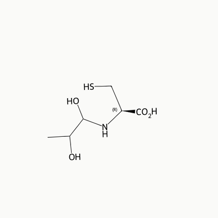 CC(O)C(O)N[C@@H](CS)C(=O)O